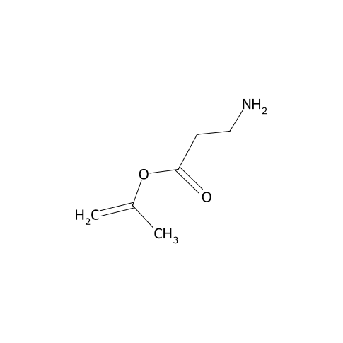 C=C(C)OC(=O)CCN